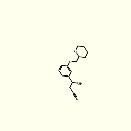 N#CCC(O)c1cccc(OCC2CCCCO2)c1